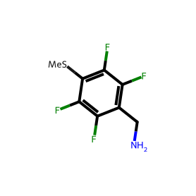 CSc1c(F)c(F)c(CN)c(F)c1F